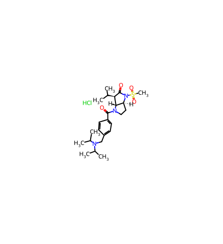 CC(C)[C@H]1C(=O)N(S(C)(=O)=O)[C@H]2CCN(C(=O)c3ccc(CN(C(C)C)C(C)C)cc3)[C@H]12.Cl